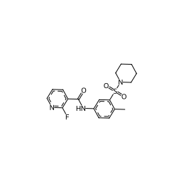 Cc1ccc(NC(=O)c2cccnc2F)cc1S(=O)(=O)N1CCCCC1